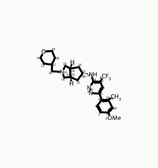 COc1ccc(-c2cc(C(F)(F)F)c(N[C@@H]3C[C@@H]4CN(CC5CCOCC5)C[C@@H]4C3)nn2)c(C)c1